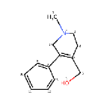 CN1CCC(CO)=C(c2ccccc2)C1